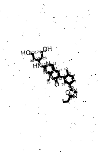 CCc1nnc(-c2ccc(C)c(-c3cc4cnc(NC(CCO)CCO)nc4n(C)c3=O)c2)o1